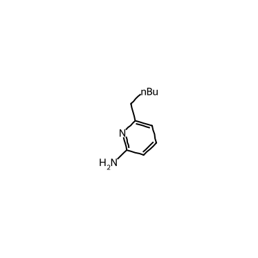 CCCCCc1cccc(N)n1